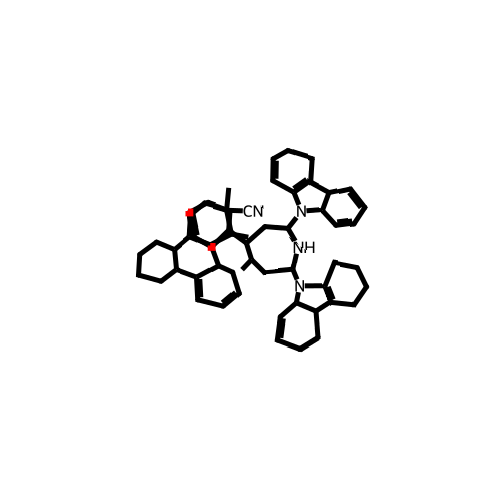 CC1CC(N2C3=C(CCCC3)C3CCC=CC32)NC(N2C3=C(CCC=C3)C3C=CC=CC32)CC1C1CCC=CC1C1CC=CC=C1C1CCCCC1C1CCC(C)(C#N)C(C)C1